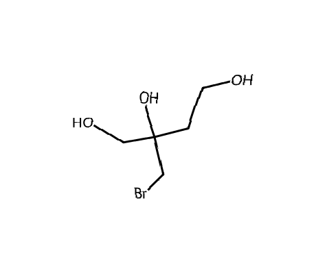 OCCC(O)(CO)CBr